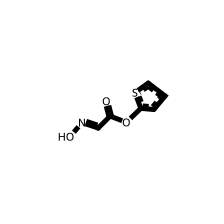 O=C(C=NO)Oc1cccs1